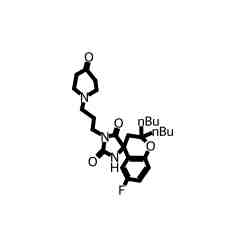 CCCCC1(CCCC)CC2(NC(=O)N(CCCN3CCC(=O)CC3)C2=O)c2cc(F)ccc2O1